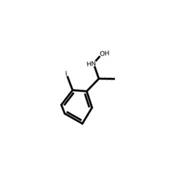 CC(NO)c1ccccc1I